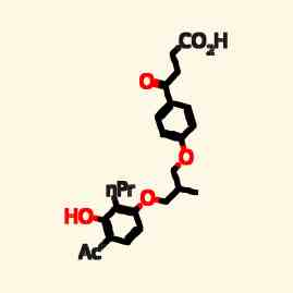 CCCc1c(OCC(C)COc2ccc(C(=O)CCC(=O)O)cc2)ccc(C(C)=O)c1O